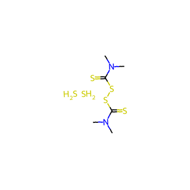 CN(C)C(=S)SSC(=S)N(C)C.S.S